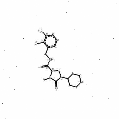 CN1C(=O)N(C2CCNCC2)CC1C(=O)NCc1cccc(C(F)(F)F)c1Cl